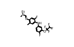 CCN(C)C=Nc1cc(F)c(Nc2ccc(F)c(OC(F)(F)C(F)F)c2)cc1C